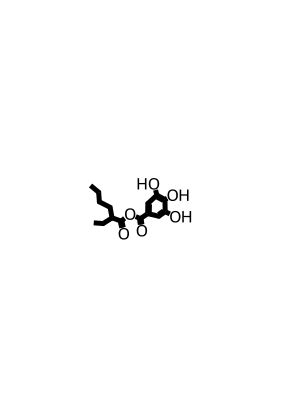 CCCCC(CC)C(=O)OC(=O)c1cc(O)c(O)c(O)c1